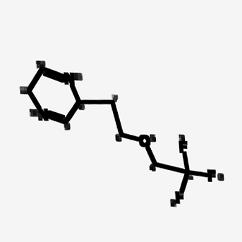 FC(F)(F)COCCC1C=NCC=N1